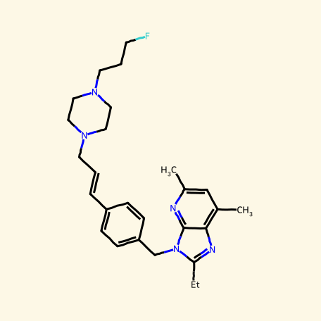 CCc1nc2c(C)cc(C)nc2n1Cc1ccc(C=CCN2CCN(CCCF)CC2)cc1